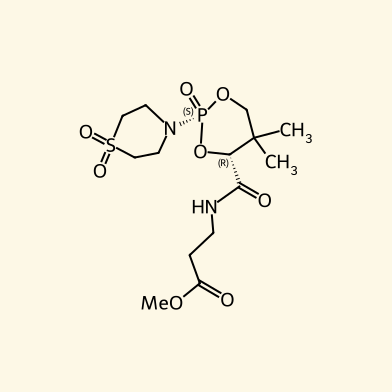 COC(=O)CCNC(=O)[C@@H]1O[P@](=O)(N2CCS(=O)(=O)CC2)OCC1(C)C